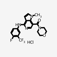 Cl.Cn1ccc2c(Nc3ccc(F)c(C(F)(F)F)c3)ncc(C(=O)N3CCOCC3)c21